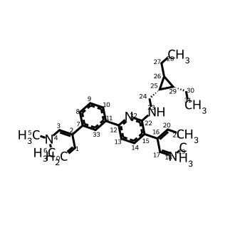 C=C/C(=C\N(C)C)c1cccc(-c2ccc(C(/C=N\C)=C/C)c(NC[C@@H]3C(CC)[C@@H]3CC)n2)c1